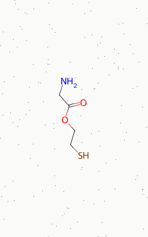 NCC(=O)OCCS